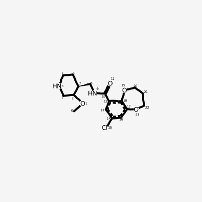 COC1CNCC[C@H]1CNC(=O)c1cc(Cl)cc2c1OCCCO2